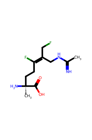 CC(=N)NC/C(CF)=C(/F)CC[C@](C)(N)C(=O)O